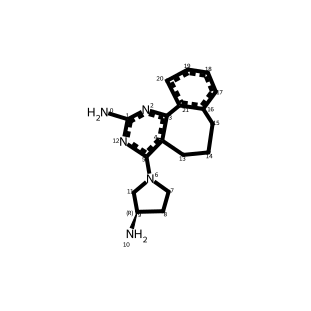 Nc1nc2c(c(N3CC[C@@H](N)C3)n1)CCCc1ccccc1-2